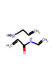 C=CCS(=O)(=O)O.C=CNC(=O)C=C.N